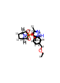 CCOCc1ccc(O[C@@H]2C[C@H]3CC[C@@H](C2)N3S(=O)(=O)c2c(C)n[nH]c2C)cc1